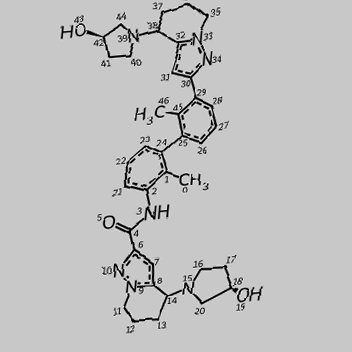 Cc1c(NC(=O)c2cc3n(n2)CCCC3N2CC[C@@H](O)C2)cccc1-c1cccc(-c2cc3n(n2)CCCC3N2CC[C@@H](O)C2)c1C